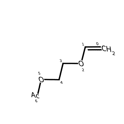 C=COCCOC(C)=O